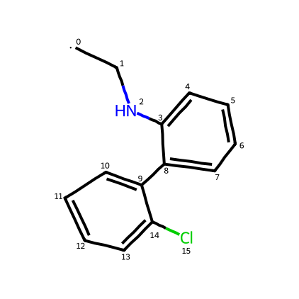 [CH2]CNc1ccccc1-c1ccccc1Cl